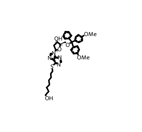 COc1ccc(C(OC[C@H]2O[C@@H](n3cnc4c(SCCCCCCCCO)ncnc43)C[C@@H]2O)(c2ccccc2)c2ccc(OC)cc2)cc1